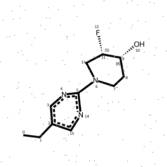 CCc1cnc(N2CC[C@@H](O)[C@@H](F)C2)nc1